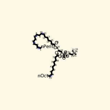 CCCCC/C=C\C/C=C\C/C=C\C/C=C\CCCCCC(=O)OC[C@H](COP(=O)([O-])OCC[N+](C)(C)C)OC(=O)CCCCCCC/C=C\CCCCCCCC